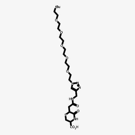 CC(C)(C)CCOCCOCCOCCOCCOCCn1cc(CNC(=O)CC2SCC(C(=O)O)NC2=O)nn1